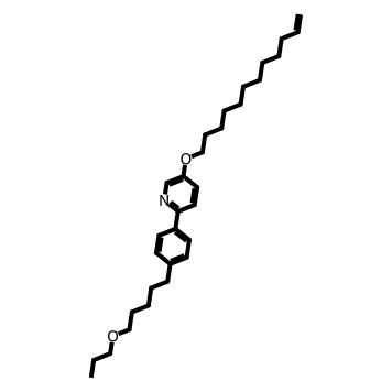 C=CCCCCCCCCCCOc1ccc(-c2ccc(CCCCCOCCC)cc2)nc1